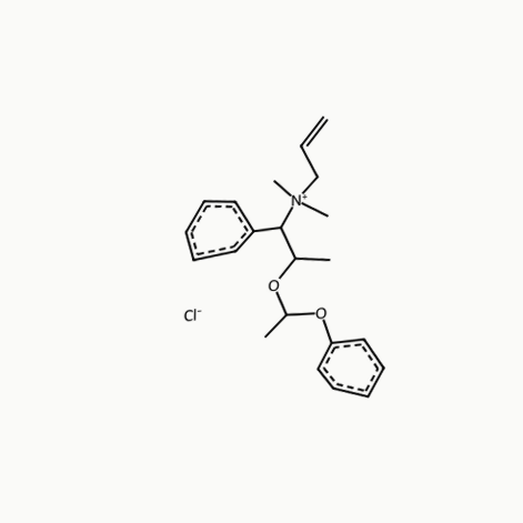 C=CC[N+](C)(C)C(c1ccccc1)C(C)OC(C)Oc1ccccc1.[Cl-]